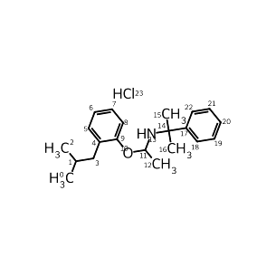 CC(C)Cc1ccccc1OC(C)NC(C)(C)c1ccccc1.Cl